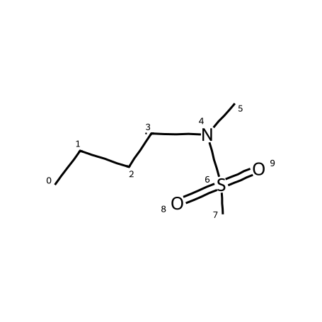 CCC[CH]N(C)S(C)(=O)=O